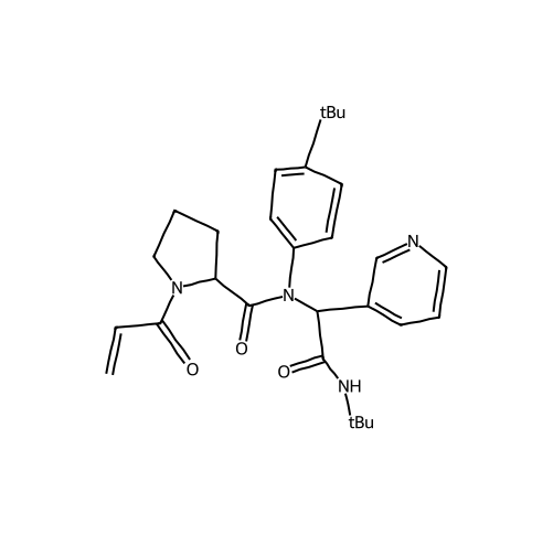 C=CC(=O)N1CCCC1C(=O)N(c1ccc(C(C)(C)C)cc1)C(C(=O)NC(C)(C)C)c1cccnc1